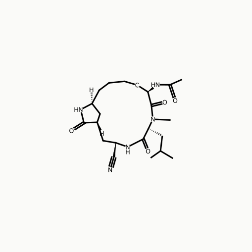 CC(=O)N[C@@H]1CCCC[C@H]2C[C@H](C[C@H](C#N)NC(=O)[C@@H](CC(C)C)N(C)C1=O)C(=O)N2